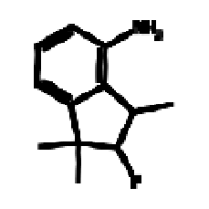 CC1c2c(N)cccc2C(C)(C)C1F